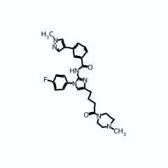 CN1CCN(C(=O)CCCc2cn(-c3ccc(F)cc3)c(NC(=O)c3cccc(-c4cnn(C)c4)c3)n2)CC1